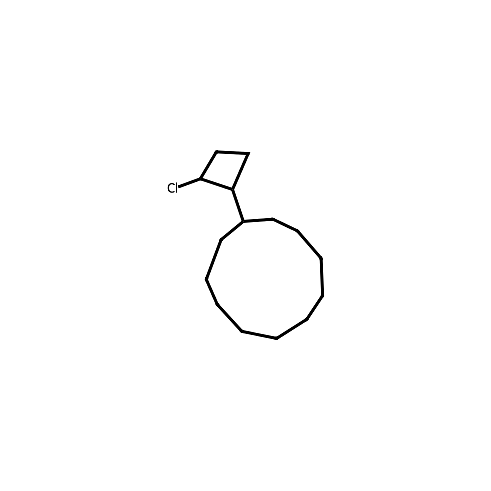 ClC1CCC1C1CCCCCCCCCC1